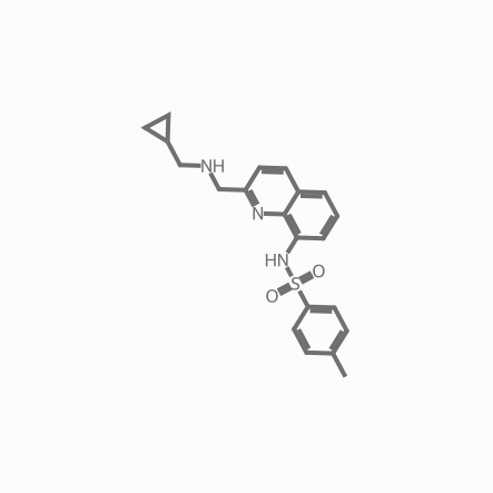 Cc1ccc(S(=O)(=O)Nc2cccc3ccc(CNCC4CC4)nc23)cc1